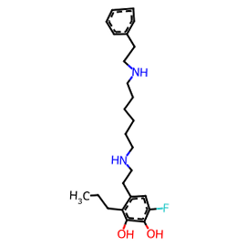 CCCc1c(CCNCCCCCCNCCc2ccccc2)cc(F)c(O)c1O